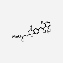 COC(=O)CCC1CNc2cc(C=C(C)c3c(F)cccc3Cl)ccc2O1